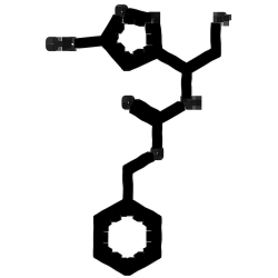 CC(C)CC(NC(=O)OCc1ccccc1)c1cc(C=O)on1